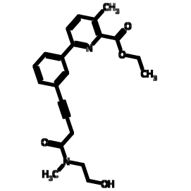 CCOC(=O)c1nc(-c2cccc(C#CCC(=O)N(C)CCO)c2)ccc1C